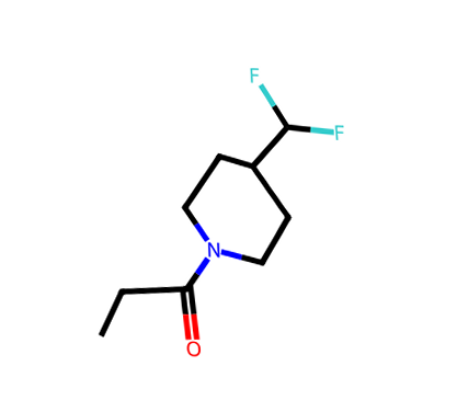 CCC(=O)N1CCC(C(F)F)CC1